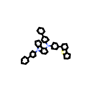 c1ccc(-c2ccc(N(c3ccc(-c4cccc5c4sc4ccccc45)cc3)c3cccc4c3c3ccccc3n4-c3ccc(-c4ccccc4)cc3)cc2)cc1